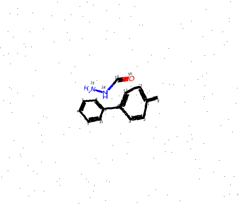 Cc1ccc(-c2ccccc2)cc1.NNC=O